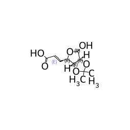 CC1(C)O[C@@H]2[C@H](O1)[C@@H](/C=C/C(=O)O)O[C@H]2O